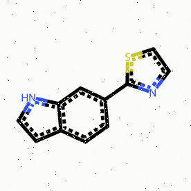 [c]1csc(-c2ccc3cc[nH]c3c2)n1